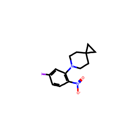 O=[N+]([O-])c1ccc(I)cc1N1CCC2(CC1)CC2